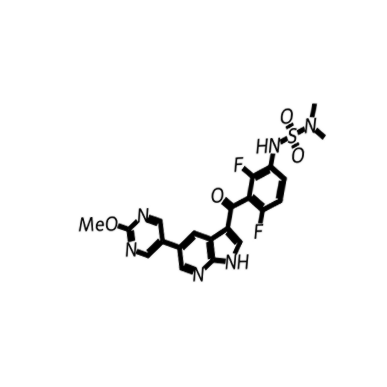 COc1ncc(-c2cnc3[nH]cc(C(=O)c4c(F)ccc(NS(=O)(=O)N(C)C)c4F)c3c2)cn1